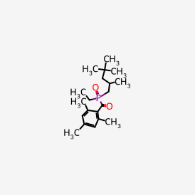 CCP(=O)(CC(C)CC(C)(C)C)C(=O)c1c(C)cc(C)cc1C